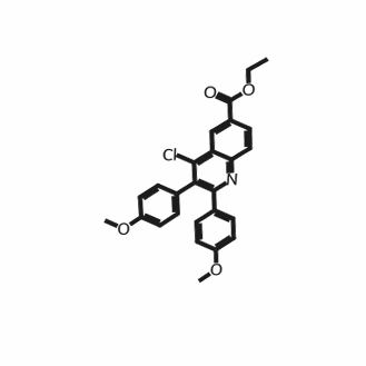 CCOC(=O)c1ccc2nc(-c3ccc(OC)cc3)c(-c3ccc(OC)cc3)c(Cl)c2c1